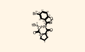 CC(C)(C)OC(=O)N1CCCC1C(=O)Nc1noc2ccc(Br)cc12